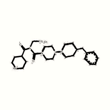 CCOC(=O)CN(C(=O)C1CCNCC1)C(=O)N1CCN(N2CCC(Cc3ccccc3)CC2)CC1